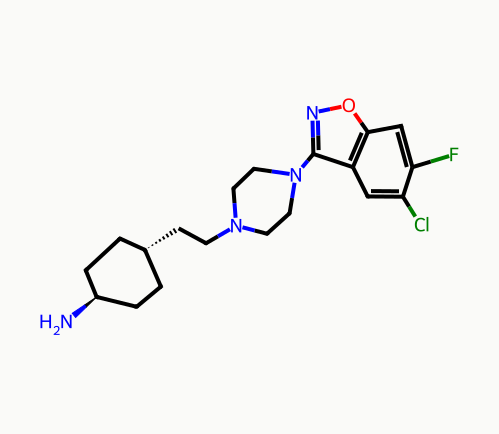 N[C@H]1CC[C@H](CCN2CCN(c3noc4cc(F)c(Cl)cc34)CC2)CC1